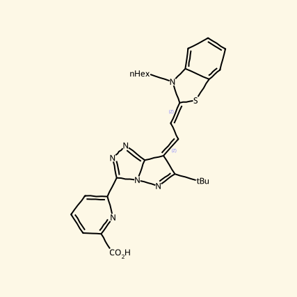 CCCCCCN1/C(=C/C=c2/c(C(C)(C)C)nn3c(-c4cccc(C(=O)O)n4)nnc23)Sc2ccccc21